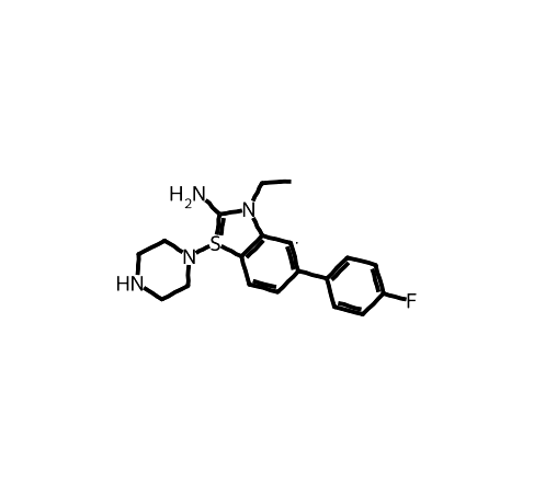 CCN1C(N)=S(N2CCNCC2)c2ccc(-c3ccc(F)cc3)[c]c21